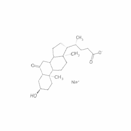 C[C@H](CCC(=O)[O-])[C@H]1CCC2C3CC(=O)C4C[C@H](O)CC[C@]4(C)C3CC[C@@]21C.[Na+]